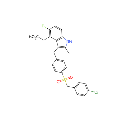 Cc1[nH]c2ccc(F)c(CC(=O)O)c2c1Cc1ccc(S(=O)(=O)Cc2ccc(Cl)cc2)cc1